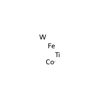 [Co].[Fe].[Ti].[W]